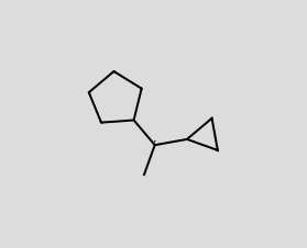 C[C](C1CCCC1)C1CC1